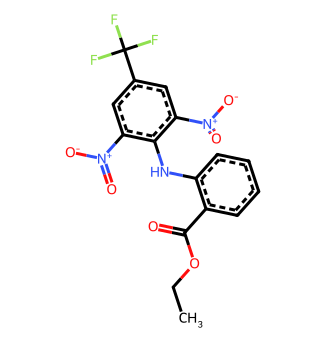 CCOC(=O)c1ccccc1Nc1c([N+](=O)[O-])cc(C(F)(F)F)cc1[N+](=O)[O-]